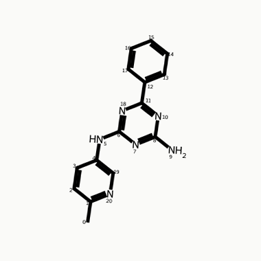 Cc1ccc(Nc2nc(N)nc(-c3ccccc3)n2)cn1